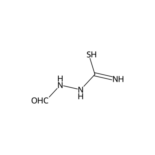 N=C(S)NNC=O